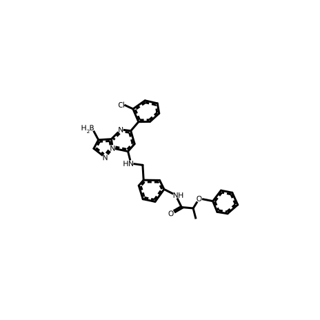 Bc1cnn2c(NCc3cccc(NC(=O)C(C)Oc4ccccc4)c3)cc(-c3ccccc3Cl)nc12